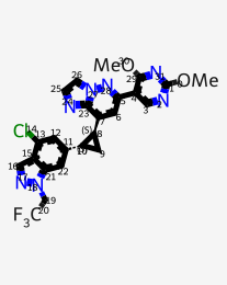 COc1ncc(-c2cc([C@H]3C[C@@H]3c3cc(Cl)c4cnn(CC(F)(F)F)c4c3)c3nccn3n2)c(OC)n1